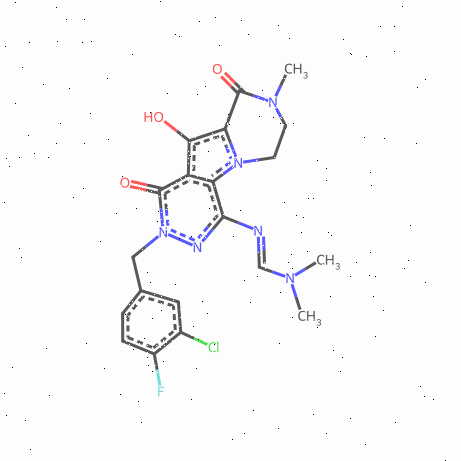 CN(C)C=Nc1nn(Cc2ccc(F)c(Cl)c2)c(=O)c2c(O)c3n(c12)CCN(C)C3=O